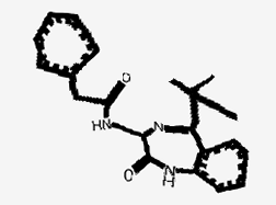 CC(C)(C)C1=NC(NC(=O)Cc2ccccc2)C(=O)Nc2ccccc21